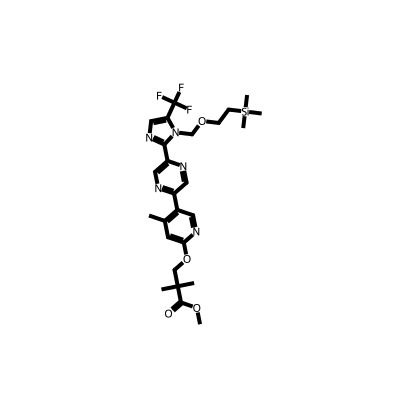 COC(=O)C(C)(C)COc1cc(C)c(-c2cnc(-c3ncc(C(F)(F)F)n3COCC[Si](C)(C)C)cn2)cn1